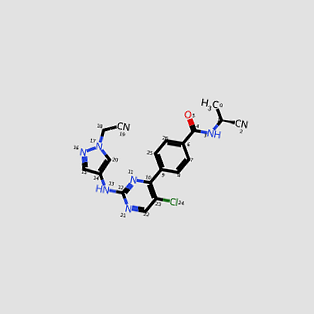 C[C@@H](C#N)NC(=O)c1ccc(-c2nc(Nc3cnn(CC#N)c3)ncc2Cl)cc1